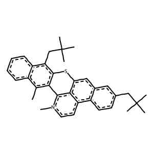 Cc1c2c(c(CC(C)(C)C)c3ccccc13)Sc1cc3cc(CC(C)(C)C)ccc3c3cc[n+](C)c-2c13